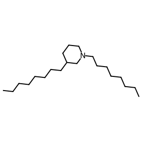 CCCCCCCCC1CCCN(CCCCCCCC)C1